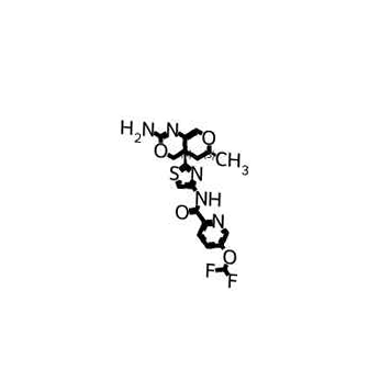 C[C@H]1C[C@]2(c3nc(NC(=O)c4ccc(OC(F)F)cn4)cs3)COC(N)=NC2=CO1